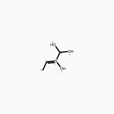 CC=[Si](O)C(O)O